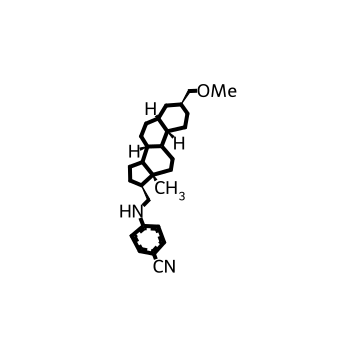 COC[C@H]1CC[C@@H]2C3CC[C@@]4(C)C(CC[C@@H]4CNc4ccc(C#N)cc4)[C@@H]3CC[C@@H]2C1